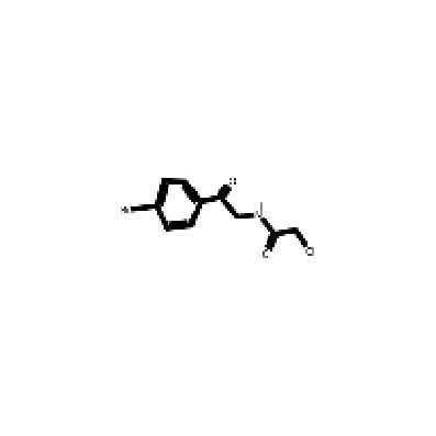 O=C(CCl)NCC(=O)c1ccc(Br)cc1